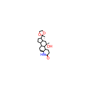 CC1(C2CCC3C4CC=C5NC(=O)CC[C@]5(C)C4[C@@](C)(O)C[C@@]32C)OCCO1